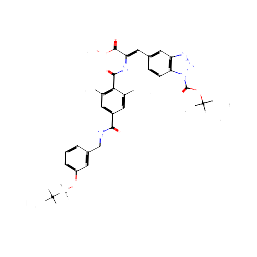 COC(=O)/C(=C/c1ccc2c(c1)nnn2C(=O)OC(C)(C)C)NC(=O)c1c(C)cc(C(=O)NCc2cccc(O[Si](C)(C)C(C)(C)C)c2)cc1C